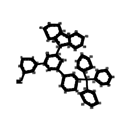 N#Cc1cccc(-c2nc(-c3cccc(C(c4ccccc4)(c4ccccc4)c4ccccc4)c3)nc(-n3c4ccccc4c4ccccc43)n2)c1